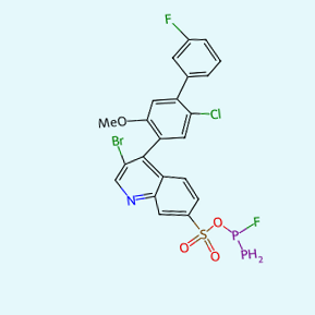 COc1cc(-c2cccc(F)c2)c(Cl)cc1-c1c(Br)cnc2cc(S(=O)(=O)OP(F)P)ccc12